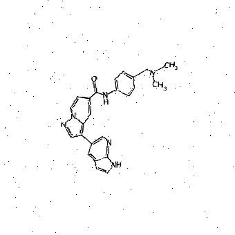 CN(C)Cc1ccc(NC(=O)c2ccn3ncc(-c4cnc5[nH]ccc5c4)c3c2)cc1